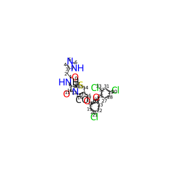 O=C(Cc1cnc[nH]1)NC1C(=O)N2C(C(=O)O)=C(COc3cc(Cl)ccc3Oc3ccc(Cl)cc3Cl)CS[C@@H]12